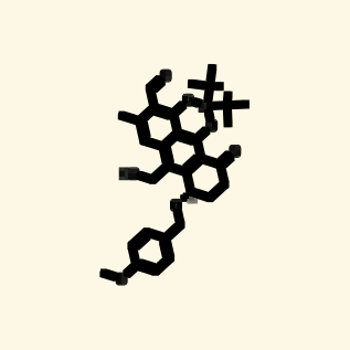 COc1ccc(CO[C@H]2CCC(=O)c3c2c(CO)c2cc(C)c(C=O)c4c2c3O[Si](C(C)(C)C)(C(C)(C)C)O4)cc1